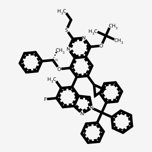 CCSc1nc(OC(C)(C)C)c2cc(C3CC3)c(-c3c(C)c(F)cc4nn(C(c5ccccc5)(c5ccccc5)c5ccccc5)cc34)c(O[C@@H](C)c3ccccc3)c2n1